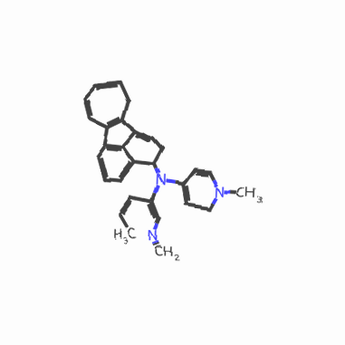 C=N/C=C(\C=C/C)N(C1=CCN(C)C=C1)C1CC=C2C3=C(C=CC=CC3)c3cccc1c32